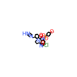 COc1ccc(S(=O)(=O)N2C(=O)C(c3cc(CN4CCNCC4)ccc3OC)(N3CCCC3c3ncco3)c3ccc(Cl)cc32)cc1